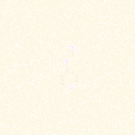 NCN(Cl)c1ccncc1